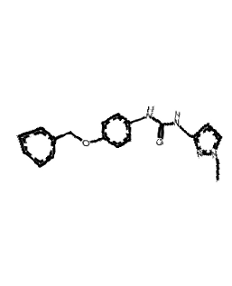 Cn1ccc(NC(=O)Nc2ccc(OCc3ccccc3)cc2)n1